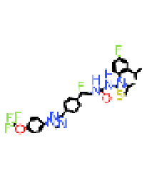 CC1=CSC(NC(=O)NCC(F)c2ccc(-c3ncn(-c4ccc(OC(F)(F)F)cc4)n3)cc2)N1c1ccc(F)cc1C(C)C